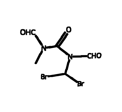 CN(C=O)C(=O)N(C=O)C(Br)Br